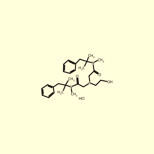 CN(C(=O)CN(CCO)CC(=O)N(C)C(C)(C)Cc1ccccc1)C(C)(C)Cc1ccccc1.Cl